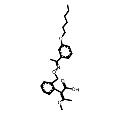 CCCCCCOc1cccc(C(C)=NOCc2ccccc2C(C(=O)O)=C(C)OC)c1